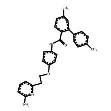 Cc1ccc(-c2cc(C)ccc2C(=O)Nc2ccc(OCCc3cccc(N)n3)cc2)cc1